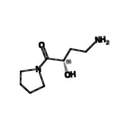 NCC[C@H](O)C(=O)N1CCCC1